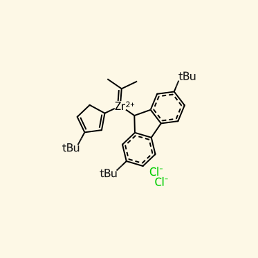 C[C](C)=[Zr+2]([C]1=CC(C(C)(C)C)=CC1)[CH]1c2cc(C(C)(C)C)ccc2-c2ccc(C(C)(C)C)cc21.[Cl-].[Cl-]